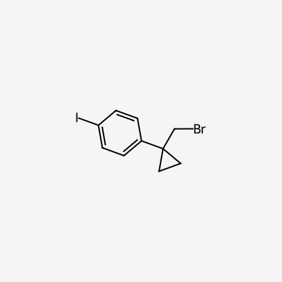 BrCC1(c2ccc(I)cc2)CC1